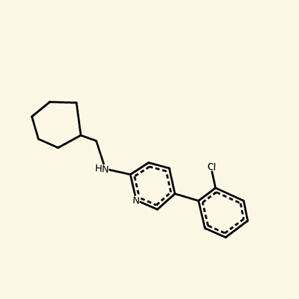 Clc1ccccc1-c1ccc(NCC2CCCCC2)nc1